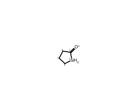 O=C1CCC[SiH2]1